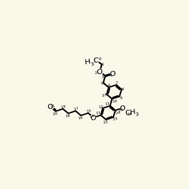 CCOC(=O)Cc1cccc(-c2cc(OCCCCCC=O)ccc2OC)c1